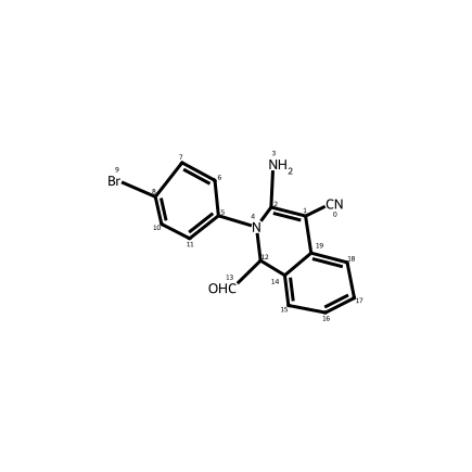 N#CC1=C(N)N(c2ccc(Br)cc2)C(C=O)c2ccccc21